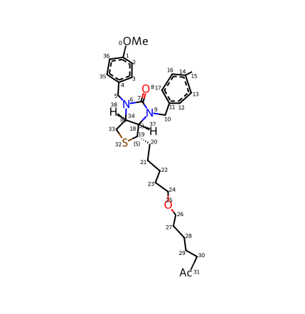 COc1ccc(CN2C(=O)N(Cc3ccc(C)cc3)[C@@H]3[C@H](CCCCCOCCCCCC(C)=O)SC[C@@H]32)cc1